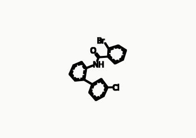 O=C(Nc1ccccc1-c1cccc(Cl)c1)c1ccccc1Br